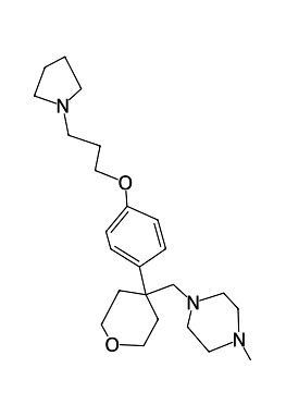 CN1CCN(CC2(c3ccc(OCCCN4CCCC4)cc3)CCOCC2)CC1